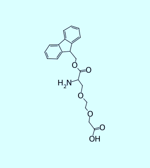 NC(COCCOCC(=O)O)C(=O)OCC1c2ccccc2-c2ccccc21